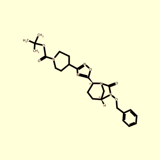 CC(C)(C)OC(=O)N1CCC(c2noc([C@@H]3CC[C@@H]4CN3C(=O)N4OCc3ccccc3)n2)CC1